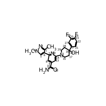 Cc1nn(C)cc1-c1cc(C(N)=O)cc(N2CCC(O)(c3ccc(F)c(F)c3)CC2)n1